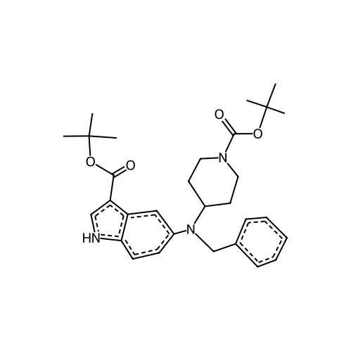 CC(C)(C)OC(=O)c1c[nH]c2ccc(N(Cc3ccccc3)C3CCN(C(=O)OC(C)(C)C)CC3)cc12